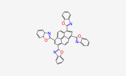 C1=CC2N=C(c3cc(-c4nc5ccccc5o4)c4ccc5c(-c6nc7ccccc7o6)cc(-c6nc7ccccc7o6)c6ccc3c4c65)OC2C=C1